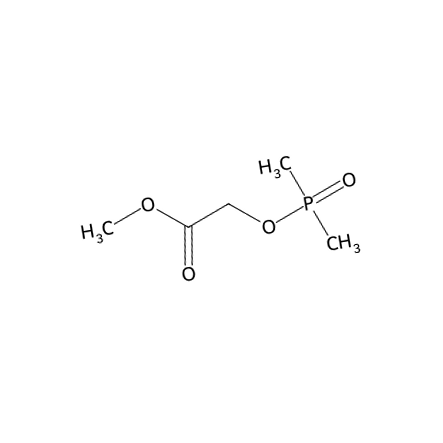 COC(=O)COP(C)(C)=O